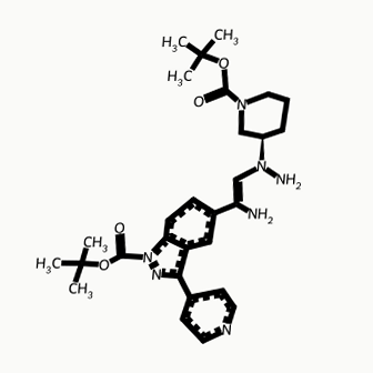 CC(C)(C)OC(=O)N1CCC[C@@H](N(N)/C=C(\N)c2ccc3c(c2)c(-c2ccncc2)nn3C(=O)OC(C)(C)C)C1